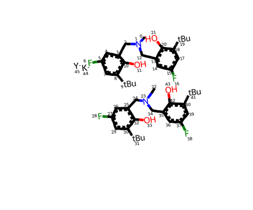 CN(Cc1cc(F)cc(C(C)(C)C)c1O)Cc1cc(F)cc(C(C)(C)C)c1O.CN(Cc1cc(F)cc(C(C)(C)C)c1O)Cc1cc(F)cc(C(C)(C)C)c1O.[K].[Y]